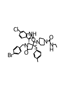 CCNC(=O)N1CCN(C(=O)[C@]2(Sc3ccc(C)cc3)CC(=O)N(Cc3ccc(Br)cc3)[C@H]2c2n[nH]c3cc(Cl)ccc23)CC1